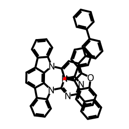 c1ccc(-c2cccc(-c3cc(-n4c5ccccc5c5ccc6c7ccccc7n(-c7nc(-c8ccccc8)nc(-c8ccccc8)n7)c6c54)cc4c3oc3ccccc34)c2)cc1